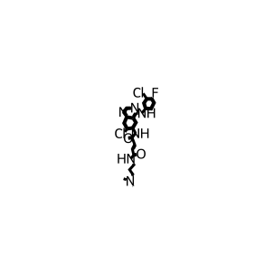 CN(C)CCCNC(=O)C=CC(=O)Nc1cc2c(Nc3ccc(F)c(Cl)c3)ncnc2cc1Cl